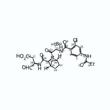 CCC(=O)Nc1ccc(C(=O)N[C@H](C(=O)N2C(C(=O)NC(C=O)CC(=O)O)[C@H]3CC[C@@H]2C3)C(C)(C)C)c(Cl)c1